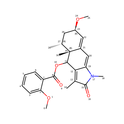 COc1ccccc1C(=O)OC1C2=C(C)C(=O)N(C)C2=CC2=C[C@H](OC)C[C@@H](C)[C@]21C